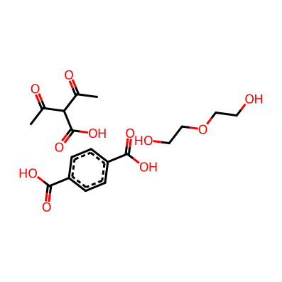 CC(=O)C(C(C)=O)C(=O)O.O=C(O)c1ccc(C(=O)O)cc1.OCCOCCO